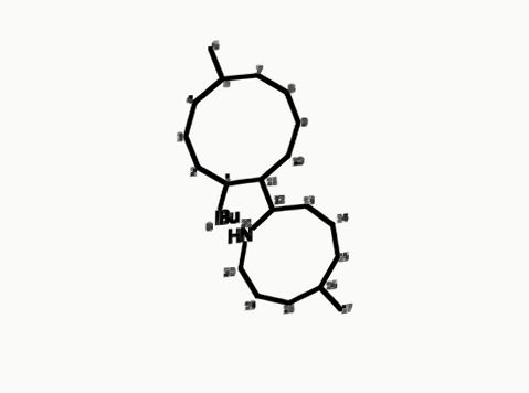 CCC(C)C1CCCC(C)CCCCC1C1CCCC(C)CCCN1